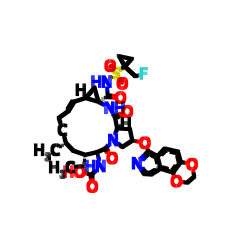 CC[C@@H]1C[C@H](C)CCC=C[C@@H]2C[C@@]2(C(=O)NS(=O)(=O)C2(CF)CC2)NC(=O)[C@@H]2C[C@@H](Oc3nccc4c5c(ccc34)OCCO5)CN2C(=O)[C@H]1NC(=O)O